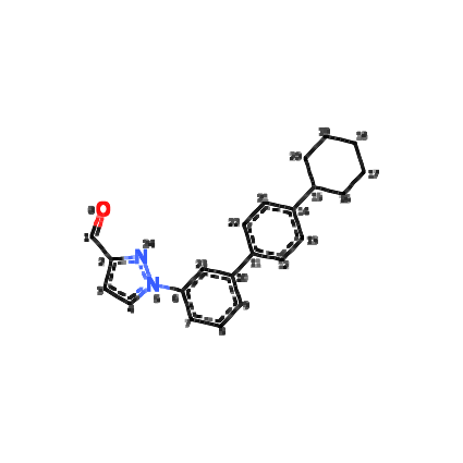 O=Cc1ccn(-c2cccc(-c3ccc(C4CCCCC4)cc3)c2)n1